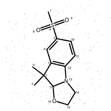 CC1(C)c2cc(S(C)(=O)=O)ccc2N2CCOC21